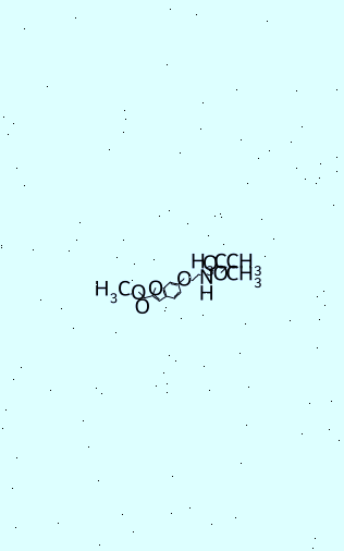 CCOC(=O)c1cc2ccc(OCCNC(=O)OC(C)(C)C)cc2o1